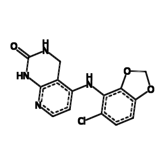 O=C1NCc2c(Nc3c(Cl)ccc4c3OCO4)ccnc2N1